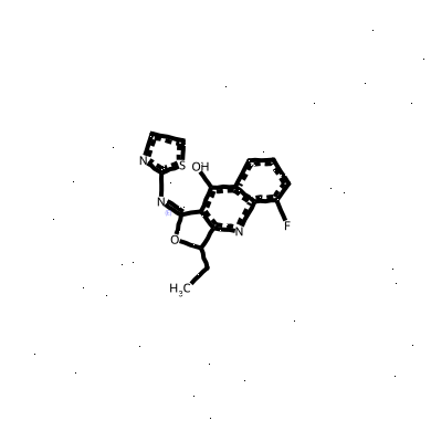 CCC1O/C(=N/c2nccs2)c2c1nc1c(F)cccc1c2O